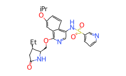 CC[C@@H]1CC(=O)N[C@@H]1COc1ncc(NS(=O)(=O)c2cccnc2)c2ccc(OC(C)C)cc12